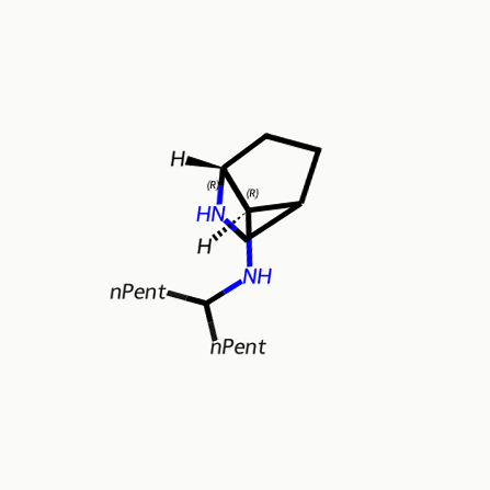 CCCCCC(CCCCC)N[C@@H]1C2CC[C@H]1NC2